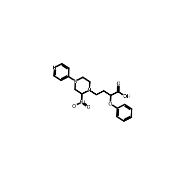 O=C(O)C(CCN1CCN(c2ccncc2)CC1[N+](=O)[O-])Oc1ccccc1